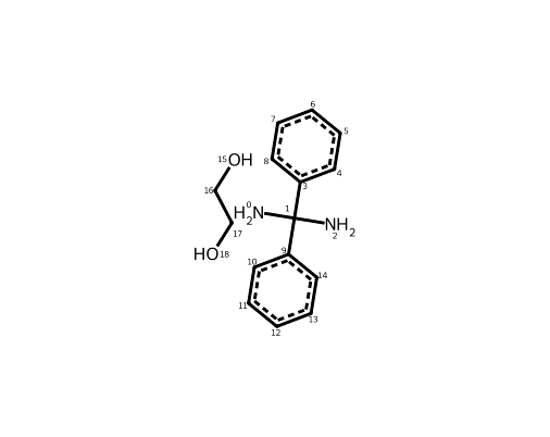 NC(N)(c1ccccc1)c1ccccc1.OCCO